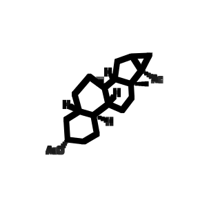 CC(=O)O[C@H]1CC[C@H]2[C@@H](CC[C@@H]3[C@@H]2CC[C@@]2(C)[C@H]3CC3C[C@]32C(C)=O)C1